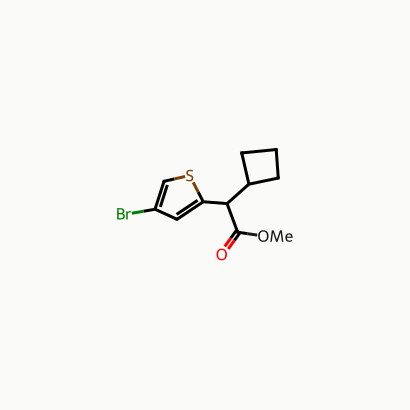 COC(=O)C(c1cc(Br)cs1)C1CCC1